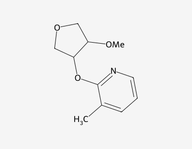 COC1COCC1Oc1ncccc1C